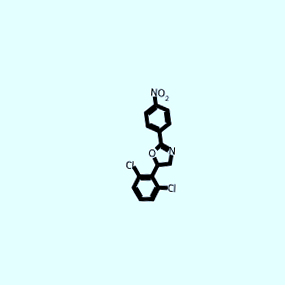 O=[N+]([O-])c1ccc(C2=NCC(c3c(Cl)cccc3Cl)O2)cc1